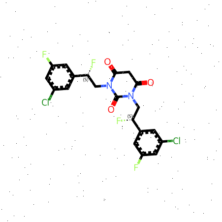 O=C1CC(=O)N(C[C@@H](F)c2cc(F)cc(Cl)c2)C(=O)N1C[C@@H](F)c1cc(F)cc(Cl)c1